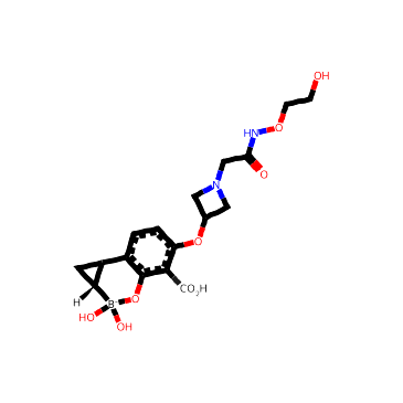 O=C(CN1CC(Oc2ccc3c(c2C(=O)O)O[B-](O)(O)[C@@H]2CC32)C1)NOCCO